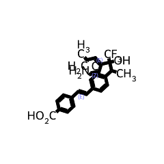 C=C(C)/C=C(\C=C/N)C(O)(C(C)c1ccc(/C=C/c2ccc(C(=O)O)cc2)cc1Cl)C(F)(F)F